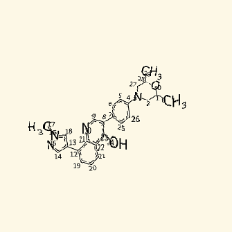 CC1CN(c2ccc(-c3cnc4c(-c5cnn(C)c5)cccc4c3O)cc2)CC(C)O1